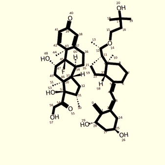 C=C1/C(=C\C=C2/CCC[C@]3(C)[C@@H]([C@H](C)OCCC(C)(C)O)CC[C@@H]23)C[C@@H](O)C[C@@H]1O.C[C@H]1C[C@H]2[C@@H]3CCC4=CC(=O)C=C[C@]4(C)[C@@]3(F)[C@@H](O)C[C@]2(C)[C@@]1(O)C(=O)CO